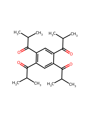 CC(C)C(=O)c1cc(C(=O)C(C)C)c(C(=O)C(C)C)cc1C(=O)C(C)C